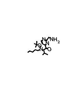 CCCCCN(OC(C)(C)C)C(C(=O)c1ccnc(CN)n1)C(C)C